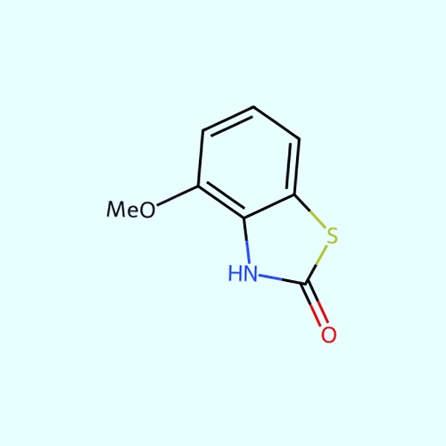 COc1cccc2sc(=O)[nH]c12